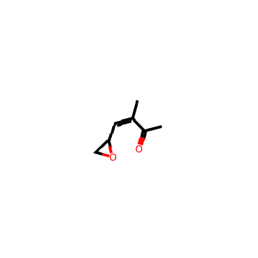 CC(=O)C(C)=CC1CO1